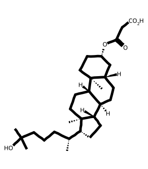 C[C@H](CCCC(C)(C)O)[C@H]1CC[C@H]2[C@@H]3CC[C@H]4C[C@@H](OC(=O)CC(=O)O)CC[C@]4(C)[C@H]3CC[C@]12C